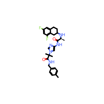 Cc1ccc(CNC(=O)C(C)(C)n2cnc(NC(=O)[C@H](C)NC3CCc4cc(F)cc(F)c4C3)c2)cc1